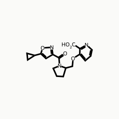 O=C(O)c1ncccc1OCC1CCCN1C(=O)c1cc(C2CC2)on1